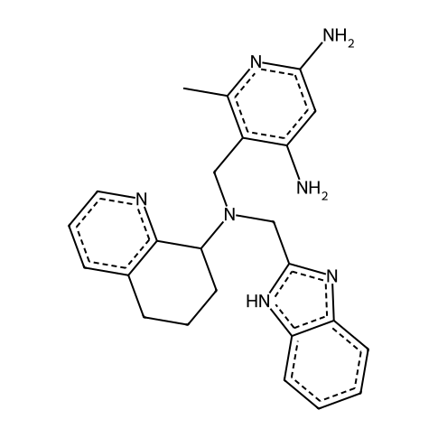 Cc1nc(N)cc(N)c1CN(Cc1nc2ccccc2[nH]1)C1CCCc2cccnc21